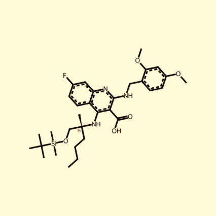 CCCC[C@](C)(CO[Si](C)(C)C(C)(C)C)Nc1c(C(=O)O)c(NCc2ccc(OC)cc2OC)nc2cc(F)ccc12